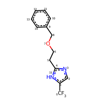 FC(F)(F)c1cnc(CCOCc2ccccc2)[nH]1